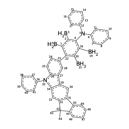 Bc1c(B)c(N(c2ccccc2)c2ccccc2)c(B)c(B)c1-c1ccc2c(c1)c1cc3c(cc1n2-c1ccccc1)C(C)(C)c1ccccc1-3